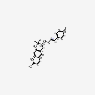 CC1(C)Oc2cc3oc(=O)ccc3cc2C[C@@H]1OC/C=C/c1ccc(F)cc1